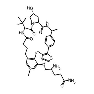 Cc1cc(CCCC(=O)NC(C(=O)N2C[C@H](O)C[C@H]2C(=O)NC(C)c2ccc(-c3scnc3C)cc2)C(C)(C)C)c(F)c(OCC(N)CCC(N)=O)c1